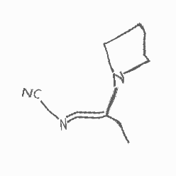 C/C(=N/C#N)N1CCC1